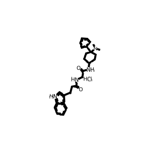 CN(C)C1(c2ccccc2)CCC(NC(=O)CNC(=O)CCc2c[nH]c3ccccc23)CC1.Cl